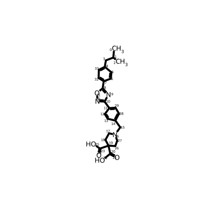 CC(C)Cc1ccc(-c2nc(-c3ccc(CN4CCC(C(=O)O)(C(=O)O)CC4)cc3)no2)cc1